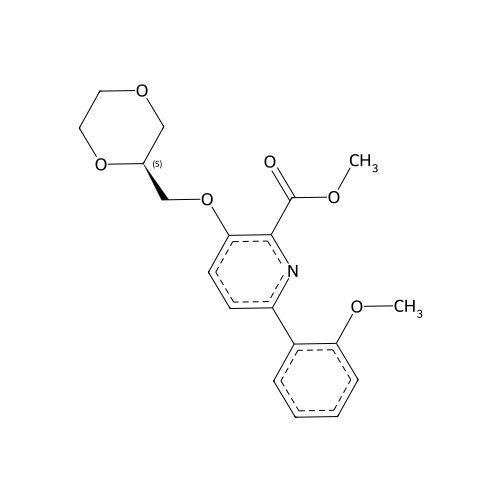 COC(=O)c1nc(-c2ccccc2OC)ccc1OC[C@@H]1COCCO1